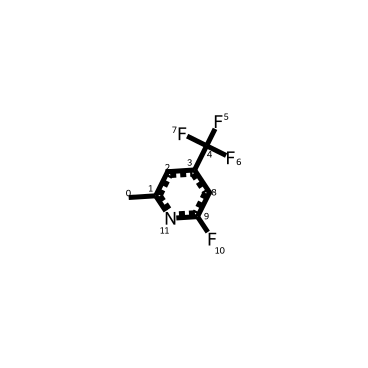 Cc1cc(C(F)(F)F)cc(F)n1